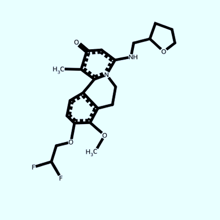 COc1c(OCC(F)F)ccc2c1CCn1c(NCC3CCCO3)cc(=O)c(C)c1-2